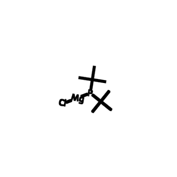 CC(C)(C)[P]([Mg][Cl])C(C)(C)C